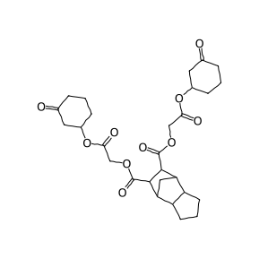 O=C1CCCC(OC(=O)COC(=O)C2C3CC(C4CCCC43)C2C(=O)OCC(=O)OC2CCCC(=O)C2)C1